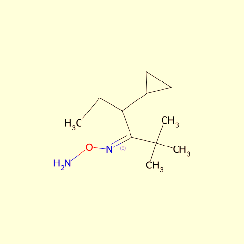 CCC(/C(=N\ON)C(C)(C)C)C1CC1